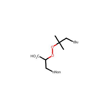 CCCCCCCCCCC(OOC(C)(C)CC(C)(C)C)C(=O)O